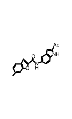 CC(=O)c1cc2cc(NC(=O)c3cc4ccc(C)cc4o3)ccc2[nH]1